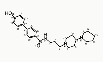 O=C(NCCCN1CCC(N2CCCCC2)CC1)c1ccc(-c2ccc(O)cc2)cc1